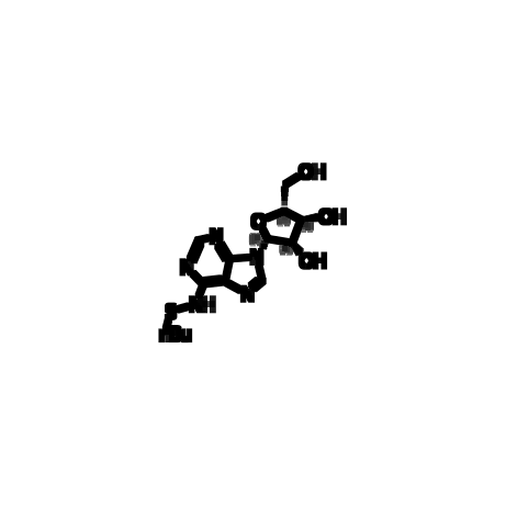 CCCCSNc1ncnc2c1ncn2[C@@H]1O[C@H](CO)[C@@H](O)[C@H]1O